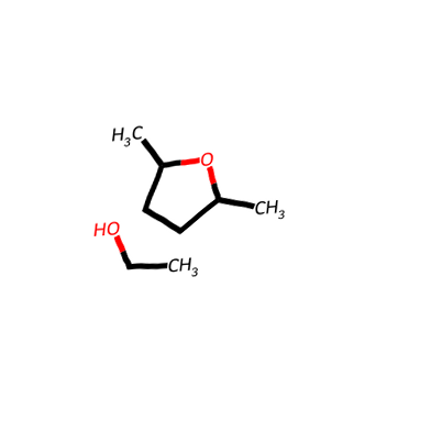 CC1CCC(C)O1.CCO